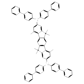 Cc1cc(N(c2ccc(-c3ccccc3)cc2)c2ccc(-c3ccccc3)cc2)cc2c1-c1cc3c(cc1C2(C)C)-c1c(C)cc(N(c2ccc(-c4ccccc4)cc2)c2ccc(-c4ccccc4)cc2)cc1C3(C)C